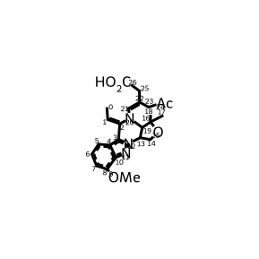 C/C=C1/c2c3cccc(OC)c3nn2C2COC(C)(C)C2N1/C=C(\CC(C)=O)CC(=O)O